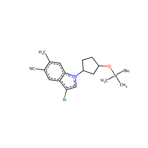 Cc1cc2c(cc1C#N)c(Br)cn2C1CCC(O[Si](C)(C)C(C)(C)C)C1